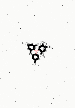 Cc1ccc(B(c2cc(C)c(C)cc2C)c2c(C)cc(C)cc2C)cc1